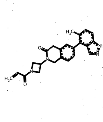 C=CC(=O)N1CC(N2Cc3ccc(-c4c(C)ccc5[nH]ncc45)cc3CC2=O)C1